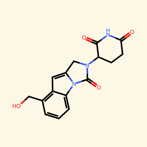 O=C1CCC(N2Cc3cc4c(CO)cccc4n3C2=O)C(=O)N1